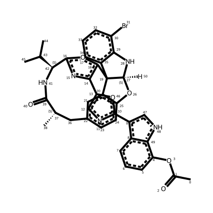 CC(=O)Oc1cccc2c(-c3ncc(-c4nc5oc4C46c7cc(ccc7O[C@@H]4Nc4c(Br)cccc46)C[C@H](C)C(=O)N[C@H]5C(C)C)o3)c[nH]c12